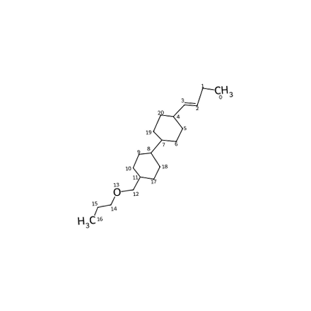 CCC=CC1CCC(C2CCC(COCCC)CC2)CC1